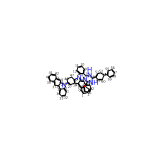 C1=CCCC(C2=NC(c3ccccc3-n3c4c(c5cc6ccccc6cc53)C=C(N3c5ccccc5C5C=c6ccccc6=CC53)CC4)NC(C3=CCC(c4ccccc4)C=C3)N2)=C1